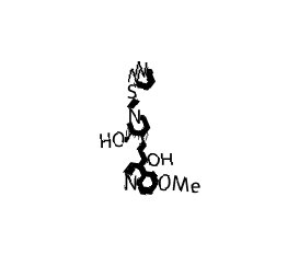 COc1ccc2nccc([C@@H](O)CC[C@@H]3CCN(CCSc4cccnn4)C[C@@H]3CO)c2c1